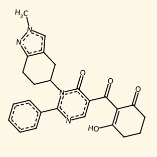 Cn1cc2c(n1)CCC(n1c(-c3ccccc3)ncc(C(=O)C3=C(O)CCCC3=O)c1=O)C2